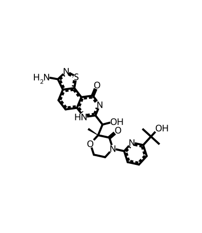 CC(C)(O)c1cccc(N2CCO[C@](C)(C(O)c3nc(=O)c4c(ccc5c(N)nsc54)[nH]3)C2=O)n1